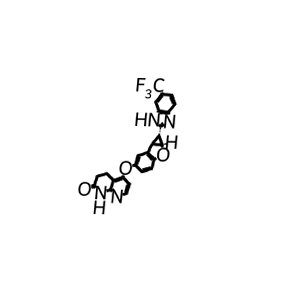 O=C1CCc2c(Oc3ccc4c(c3)C3[C@H](O4)[C@H]3c3nc4ccc(C(F)(F)F)cc4[nH]3)ccnc2N1